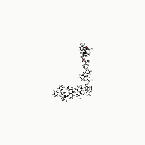 C=CCC1(CC(C)C)C(=O)NC(=O)NC1=O.CC(=O)Nc1ccc(O)cc1.CC(CN1c2ccccc2Sc2ccccc21)N(C)C.CC[C@@H](c1cccc(O)c1)[C@@H](C)CN(C)C.NC(=O)C[S+]([O-])C(c1ccccc1)c1ccccc1.O=C(O)c1cccnc1.O=C1CC[C@@]2(O)[C@H]3Cc4ccc(O)c5c4[C@@]2(CCN3CC2CC2)[C@H]1O5